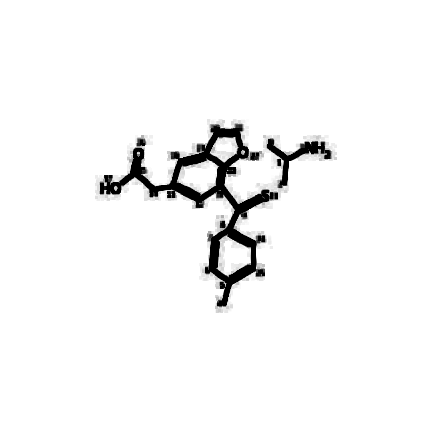 CC(C)N.Cc1ccc(C(=S)c2cc(CC(=O)O)cc3ccoc23)cc1